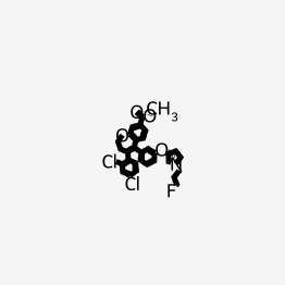 COC(=O)c1ccc2c(c1)OCCC(c1ccc(Cl)cc1Cl)=C2c1cccc(O[C@@H]2CCN(CCCF)C2)c1